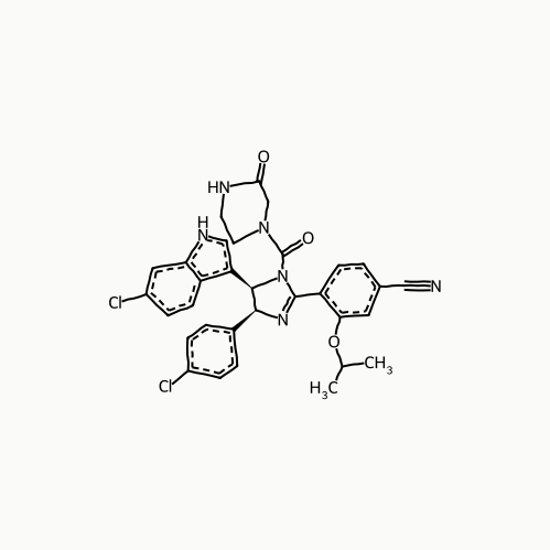 CC(C)Oc1cc(C#N)ccc1C1=N[C@@H](c2ccc(Cl)cc2)[C@@H](c2c[nH]c3cc(Cl)ccc23)N1C(=O)N1CCNC(=O)C1